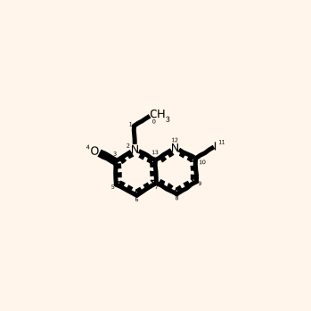 CCn1c(=O)ccc2ccc(I)nc21